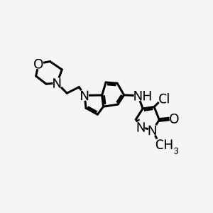 Cn1ncc(Nc2ccc3c(ccn3CCN3CCOCC3)c2)c(Cl)c1=O